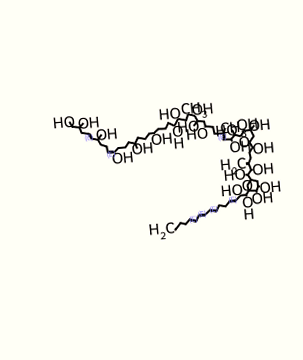 C=CCC/C=C/C=C/C=C/CC/C=C/C(O)C(O)C1OC(C(O)C(O)C(=C)CCC(O)C2CC(O)C(O)C(C(O)C(O)/C=C(\C)CCC(O)CC(O)C(O)C(C)CC(O)C(O)CCCC(O)CCCC(O)CCC/C(O)=C\CCC(O)/C=C/CC(O)CO)O2)CC(O)C1O